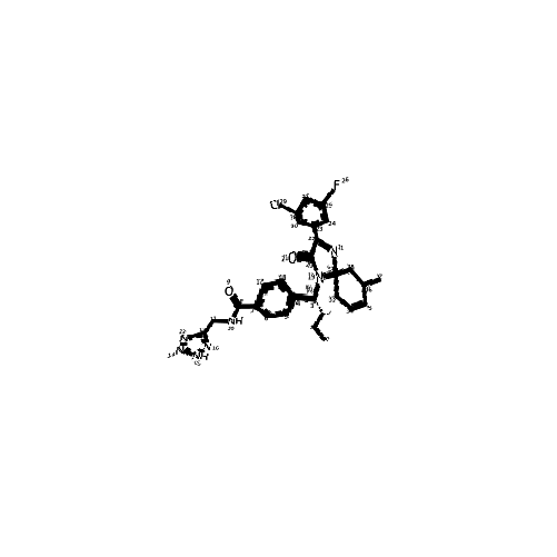 CCC[C@H](c1ccc(C(=O)NCc2nn[nH]n2)cc1)N1C(=O)C(c2cc(F)cc(Cl)c2)=NC12CC=CC(C)C2